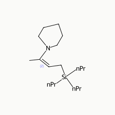 CCC[Si](C/C=C(/C)N1CCCCC1)(CCC)CCC